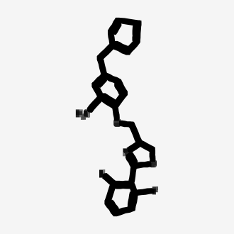 Cc1cc(Cc2ccccc2)ccc1OCC1COC(c2c(F)cccc2F)=N1